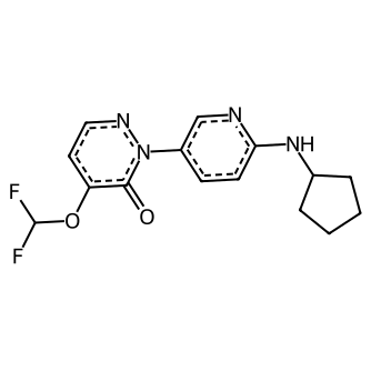 O=c1c(OC(F)F)ccnn1-c1ccc(NC2CCCC2)nc1